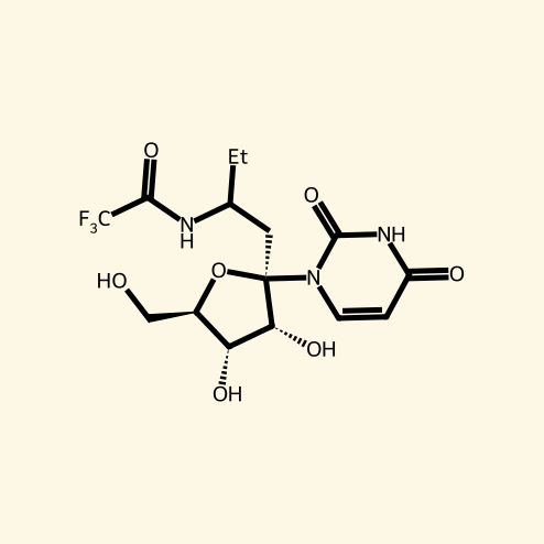 CCC(C[C@@]1(n2ccc(=O)[nH]c2=O)O[C@H](CO)[C@@H](O)[C@H]1O)NC(=O)C(F)(F)F